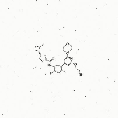 Cc1cc(F)c(NC(=O)N2CC/C(=C3\CCC3F)C2)cc1-c1cc(OCCO)nc(N2CCOCC2)c1